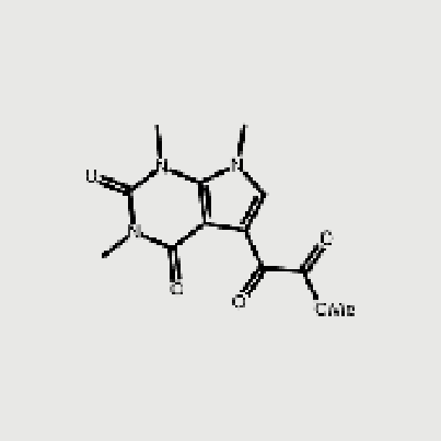 COC(=O)C(=O)c1cn(C)c2c1c(=O)n(C)c(=O)n2C